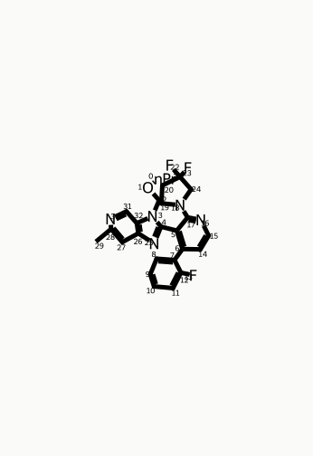 CCCOCn1c(-c2c(-c3ccccc3F)ccnc2N2CCC(F)(F)C2)nc2cc(C)ncc21